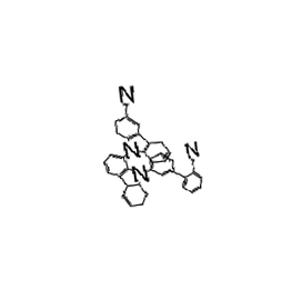 N#CC1=CC2=C(CC1)N(c1cccc3c1N(c1cccc(-c4ccccc4C#N)c1)C1CCC=CC31)C1CC=CCC21